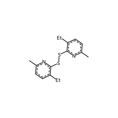 CCc1ccc(C)nc1SSc1nc(C)ccc1CC